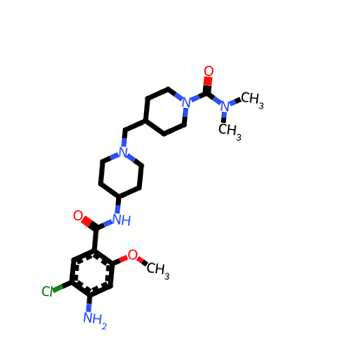 COc1cc(N)c(Cl)cc1C(=O)NC1CCN(CC2CCN(C(=O)N(C)C)CC2)CC1